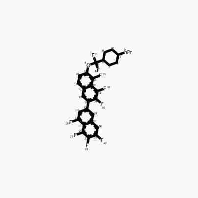 CCCC1CCC(C(F)(F)Oc2ccc3cc(-c4cc(F)c5c(F)c(F)c(F)cc5c4)c(F)c(F)c3c2F)CC1